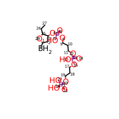 BC1CC(OP(=O)(O)OCCCOP(=O)(O)OCCCOP(=O)(O)O)C(CC)O1